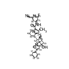 Cc1c(SN2C3CCC34C2CC4(O)c2cc(-c3ccccc3)on2)c2n(c1C(=O)Nc1cc(F)nc(C#N)c1)CCC=C2